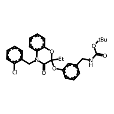 CCC1(Oc2cccc(CNC(=O)OC(C)(C)C)c2)Oc2ccccc2N(Cc2ccccc2Cl)C1=O